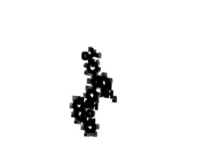 CC(C)C(=O)N1CCC(c2cc(-c3ccc(Nc4nccc5ccn(-c6ccccn6)c(=O)c45)cc3)c3c(N)nccn23)CC1